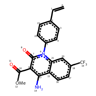 C=Cc1ccc(-n2c(=O)c(C(=O)OC)c(N)c3ccc(C(F)(F)F)cc32)cc1